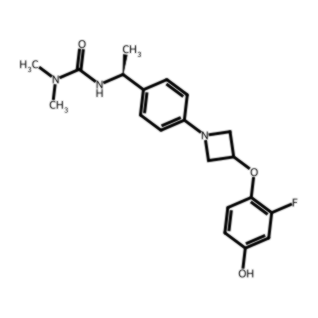 C[C@H](NC(=O)N(C)C)c1ccc(N2CC(Oc3ccc(O)cc3F)C2)cc1